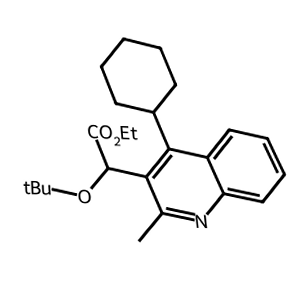 CCOC(=O)C(OC(C)(C)C)c1c(C)nc2ccccc2c1C1CCCCC1